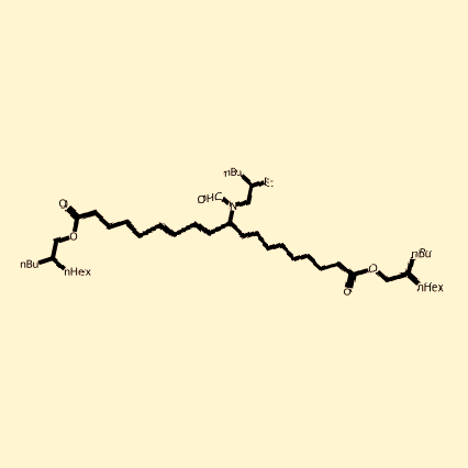 CCCCCCC(CCCC)COC(=O)CCCCCCCCC(CCCCCCCCC(=O)OCC(CCCC)CCCCCC)N(C=O)CC(CC)CCCC